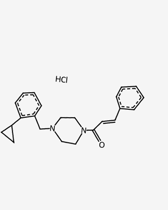 Cl.O=C(C=Cc1ccccc1)N1CCN(Cc2ccccc2C2CC2)CC1